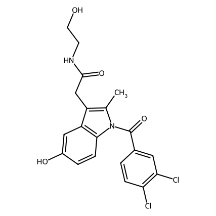 Cc1c(CC(=O)NCCO)c2cc(O)ccc2n1C(=O)c1ccc(Cl)c(Cl)c1